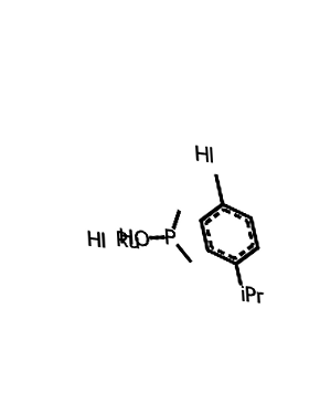 CP(C)O.Cc1ccc(C(C)C)cc1.I.I.[Ru]